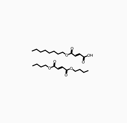 CCCCCCCCOC(=O)C=CC(=O)O.CCCCOC(=O)C=CC(=O)OCCCC